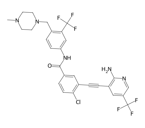 CN1CCN(Cc2ccc(NC(=O)c3ccc(Cl)c(C#Cc4cc(C(F)(F)F)cnc4N)c3)cc2C(F)(F)F)CC1